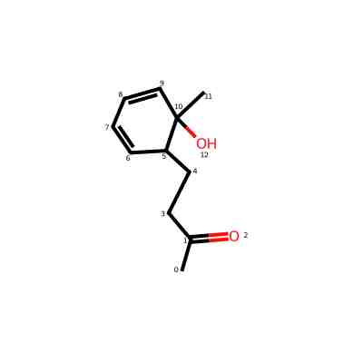 CC(=O)CCC1C=CC=CC1(C)O